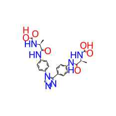 C[C@H](NC(=O)O)C(=O)Nc1ccc(-c2nncn2-c2ccc(NC(=O)[C@H](C)NC(=O)O)cc2)cc1